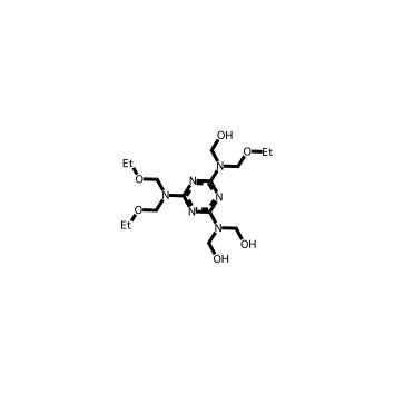 CCOCN(CO)c1nc(N(CO)CO)nc(N(COCC)COCC)n1